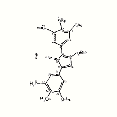 CCCCC1=C(c2cc(CCCC)c(CCCC)c(CCCC)c2)[N+](=[N-])C(c2cc(C)c(C)c(C)c2)=C1.[Ni]